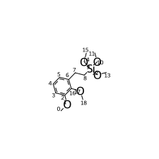 COc1cccc(CC[Si](OC)(OC)OC)c1OC